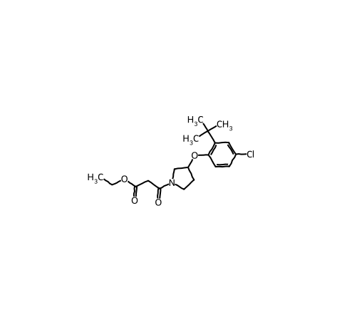 CCOC(=O)CC(=O)N1CCC(Oc2ccc(Cl)cc2C(C)(C)C)C1